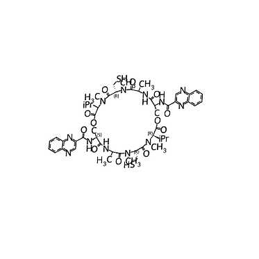 CC1NC(=O)C(NC(=O)c2cnc3ccccc3n2)COC(=O)[C@@H](C(C)C)N(C)C(=O)[C@H](CS)N(C)C(=O)C(C)NC(=O)[C@@H](NC(=O)c2cnc3ccccc3n2)COC(=O)C(C(C)C)N(C)C(=O)[C@H](CS)N(C)C1=O